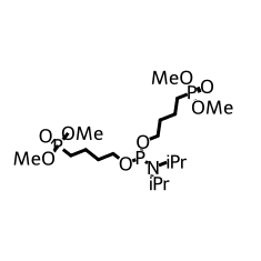 COP(=O)(CCCCOP(OCCCCP(=O)(OC)OC)N(C(C)C)C(C)C)OC